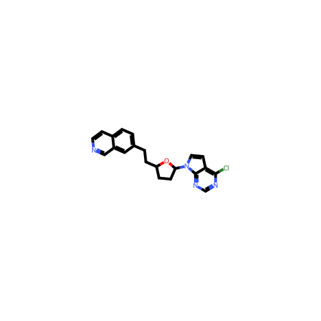 Clc1ncnc2c1ccn2C1CCC(CCc2ccc3ccncc3c2)O1